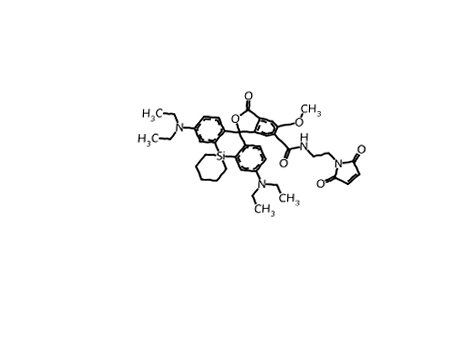 CCN(CC)c1ccc2c(c1)[Si]1(CCCCC1)c1cc(N(CC)CC)ccc1C21OC(=O)c2cc(OC)c(C(=O)NCCN3C(=O)C=CC3=O)cc21